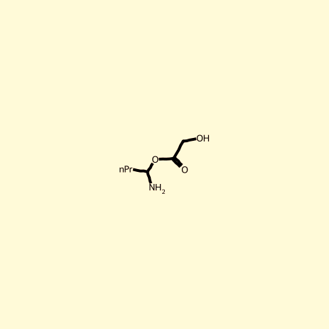 CCCC(N)OC(=O)CO